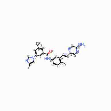 Cc1cn(-c2cc(C(=O)Nc3ccc(C)c(/C=C/c4cnc(N)cn4)c3)cc(C(F)(F)F)c2)cn1